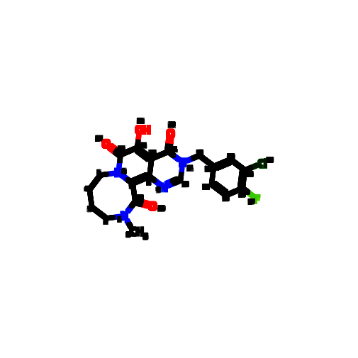 CN1CCCCn2c(c3ncn(Cc4ccc(F)c(Cl)c4)c(=O)c3c(O)c2=O)C1=O